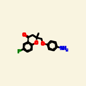 CC1(COc2ccc(N)cc2)CC(=O)c2cc(F)ccc2O1